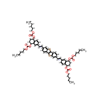 CCCCCOC(=O)OC1CCC(OC(=O)OCCCCC)c2cc(/C=C/c3ccc4c(c3)sc3c5ccc(/C=C/c6ccc7c(c6)C(OC(=O)OCCCCC)CCC7OC(=O)OCCCCC)cc5sc43)ccc21